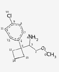 COCC(N)C1(c2ccc(Cl)cc2)CCC1